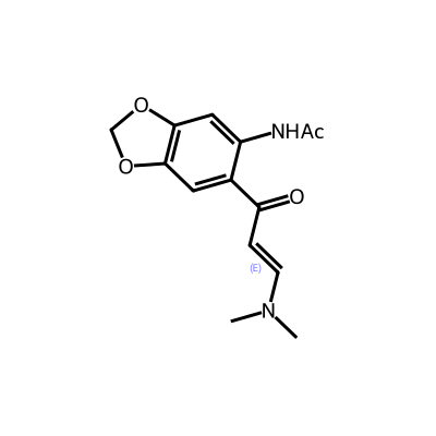 CC(=O)Nc1cc2c(cc1C(=O)/C=C/N(C)C)OCO2